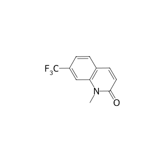 Cn1c(=O)ccc2ccc(C(F)(F)F)cc21